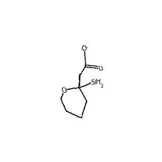 [O]C(=O)CC1([SiH3])CCCCO1